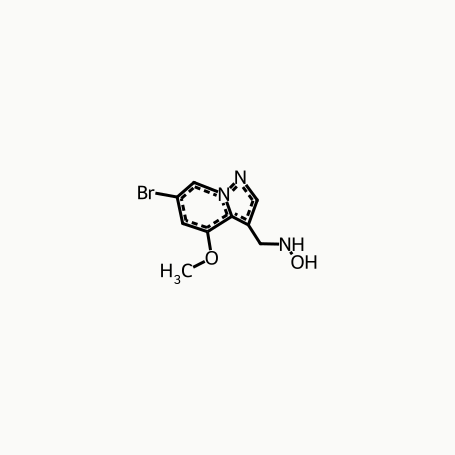 COc1cc(Br)cn2ncc(CNO)c12